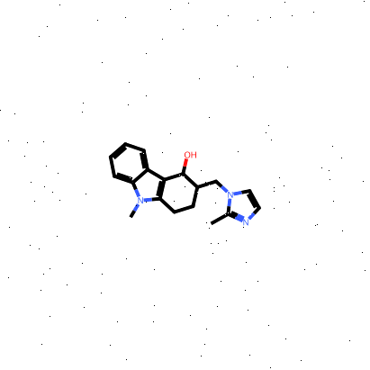 Cc1nccn1CC1CCc2c(c3ccccc3n2C)C1O